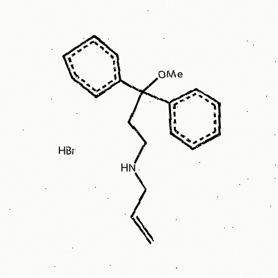 Br.C=CCNCCC(OC)(c1ccccc1)c1ccccc1